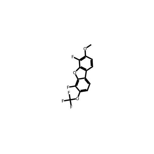 COc1ccc2c(oc3c(F)c(OC(F)(F)F)ccc32)c1F